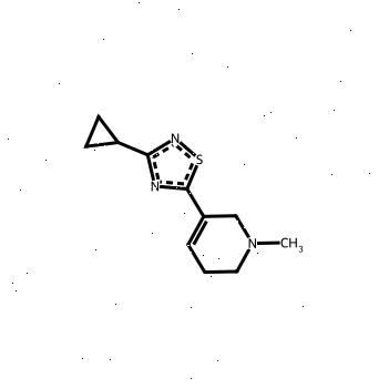 CN1CCC=C(c2nc(C3CC3)ns2)C1